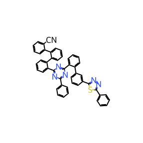 N#Cc1ccccc1-c1ccccc1-c1ccccc1-c1nc(-c2ccccc2)nc(-c2ccccc2-c2cccc(-c3nnc(-c4ccccc4)s3)c2)n1